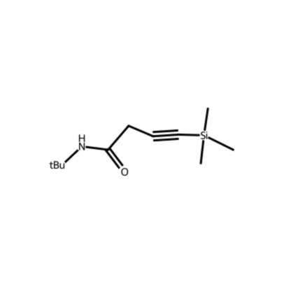 CC(C)(C)NC(=O)CC#C[Si](C)(C)C